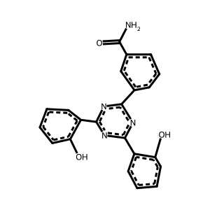 NC(=O)c1cccc(-c2nc(-c3ccccc3O)nc(-c3ccccc3O)n2)c1